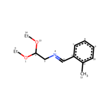 CCOC(CN=Cc1ccccc1C)OCC